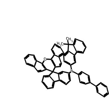 CC1(C)c2ccccc2-c2cc(N(c3ccc(-c4ccccc4)cc3)c3ccc4c(c3)C3(c5ccccc5-4)c4ccc5ccccc5c4Oc4c3ccc3ccccc43)ccc21